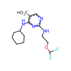 O=C(O)c1cnc(NCCOC(F)F)nc1NC1CCCCC1